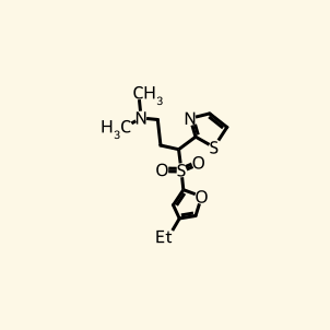 CCc1coc(S(=O)(=O)C(CCN(C)C)c2nccs2)c1